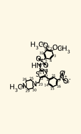 COc1ccc(S(=O)(=O)Nc2nc(-c3cccc([N+](=O)[O-])c3)c(CN3CCN(C)CC3)s2)cc1OC